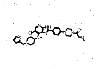 COCC(=O)N1CCN(c2ccc(-c3nc4c(NC5CCN(Cc6cccs6)CC5)c(Cl)cnc4[nH]3)cc2)CC1